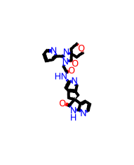 O=C(CN1C(=O)C2(CCOCC2)N=C1c1ccccn1)Nc1cc2c(cn1)C[C@]1(C2)C(=O)Nc2ncccc21